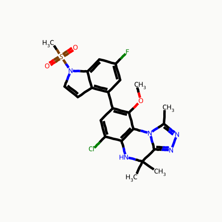 COc1c(-c2cc(F)cc3c2ccn3S(C)(=O)=O)cc(Cl)c2c1-n1c(C)nnc1C(C)(C)N2